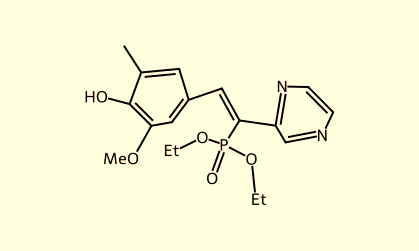 CCOP(=O)(OCC)C(=Cc1cc(C)c(O)c(OC)c1)c1cnccn1